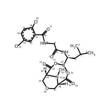 CC(C)C[C@H](NC(=O)CNC(=O)c1cc(Cl)ccc1Cl)B1OC(=O)[C@H]2COC[C@@H](C(=O)O1)N2C